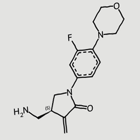 C=C1C(=O)N(c2ccc(N3CCOCC3)c(F)c2)C[C@@H]1CN